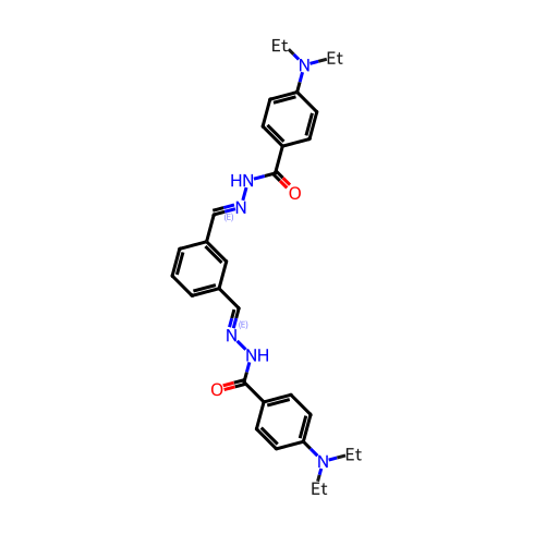 CCN(CC)c1ccc(C(=O)N/N=C/c2cccc(/C=N/NC(=O)c3ccc(N(CC)CC)cc3)c2)cc1